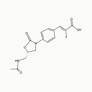 CC(=O)NC[C@H]1CN(c2ccc(C=C(F)C(=O)O)cc2)C(=O)O1